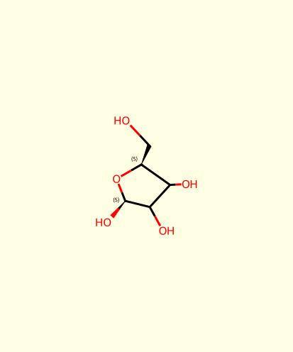 OC[C@@H]1O[C@H](O)C(O)C1O